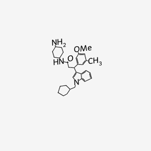 COc1cc(C)cc(C(CC(=O)N[C@H]2CC[C@H](N)CC2)c2cn(CC3CCCCC3)c3ccccc23)c1